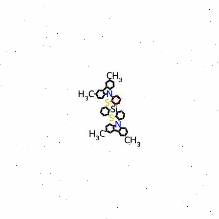 Cc1ccc2c(c1)c1cc(C)ccc1n2-c1cccc2c1Sc1cccc3c1[Si]2(c1ccccc1)c1cccc(-n2c4ccc(C)cc4c4cc(C)ccc42)c1S3